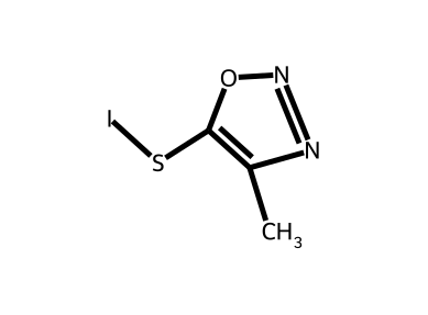 Cc1nnoc1SI